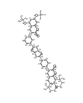 CC(C)(C)Oc1cc(OC(C)(C)C)c2cc(-c3cccc(-c4cc5sc(-c6ccc(-c7cc8cc9c%10c(c8oc7=O)C(C)(C)CCN%10CCC9(C)C)cc6)cc5s4)c3)c(=O)oc2c1